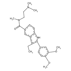 CCc1c(-c2ccc(OC)c(OC)c2)[nH]c2ccc(C(=O)N(C)CCN(C)C)cc12